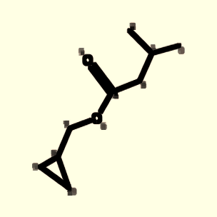 CC(C)CC(=O)OCC1CC1